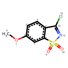 COc1ccc2c(c1)S(=O)(=O)N=C2Cl